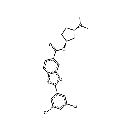 CN(C)[C@@H]1CC[C@H](OC(=O)c2ccc3nc(-c4cc(Cl)cc(Cl)c4)oc3c2)C1